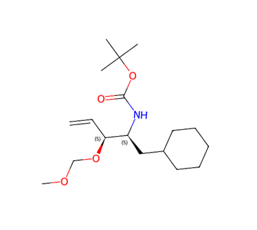 C=C[C@H](OCOC)[C@H](CC1CCCCC1)NC(=O)OC(C)(C)C